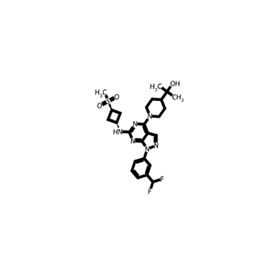 CC(C)(O)C1CCN(c2nc(N[C@H]3C[C@H](S(C)(=O)=O)C3)nc3c2cnn3-c2cccc(C(F)F)c2)CC1